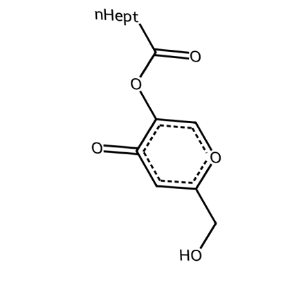 CCCCCCCC(=O)Oc1coc(CO)cc1=O